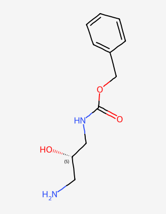 NC[C@H](O)CNC(=O)OCc1ccccc1